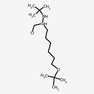 CC(C)(C)N[SiH](CCl)CCCCCCOC(C)(C)C